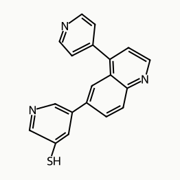 Sc1cncc(-c2ccc3nccc(-c4ccncc4)c3c2)c1